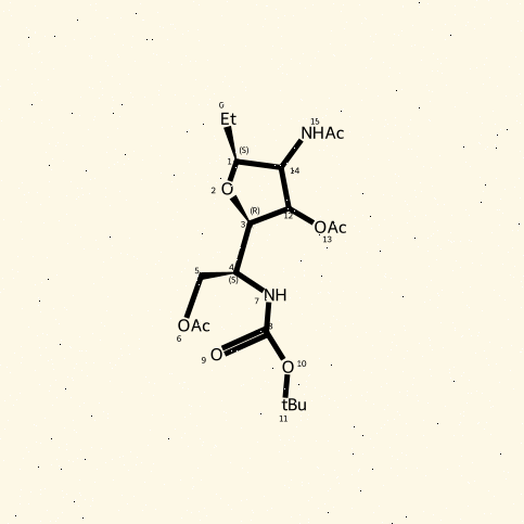 CC[C@@H]1O[C@H]([C@H](COC(C)=O)NC(=O)OC(C)(C)C)C(OC(C)=O)C1NC(C)=O